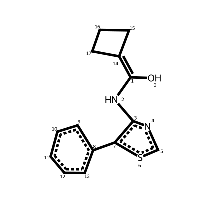 OC(Nc1ncsc1-c1ccccc1)=C1CCC1